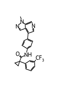 Cn1ncc2c(-c3ccc(NC(=O)C4(c5cccc(C(F)(F)F)c5)CC4)cc3)cncc21